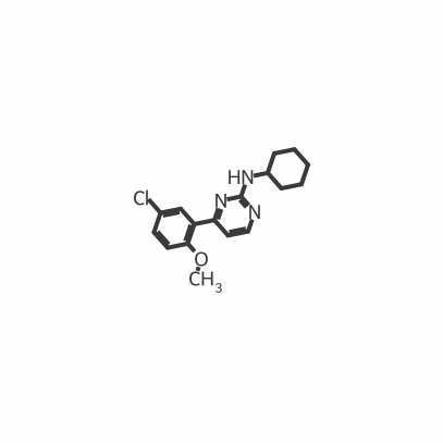 COc1ccc(Cl)cc1-c1ccnc(NC2CCCCC2)n1